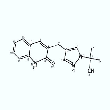 CC(C)(C#N)n1cc(Cc2cc3ccccc3[nH]c2=O)cn1